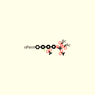 C=C(C)C(=O)OCC(COC(=O)CC(C)=O)(COC(=O)CC(C)=O)COc1ccc(-c2ccc(-c3ccc(C4CCC(CCCCC)CC4)cc3F)cc2OC(=O)C(=C)C)cc1